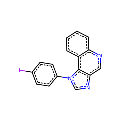 Ic1ccc(-n2cnc3cnc4ccccc4c32)cc1